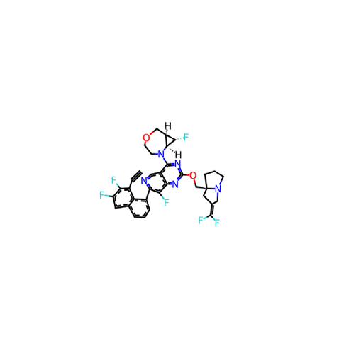 C#Cc1c(F)c(F)cc2cccc(-c3ncc4c(N5CCOC[C@H]6[C@H](F)[C@H]65)nc(OC[C@@]56CCCN5CC(=C(F)F)C6)nc4c3F)c12